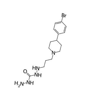 NNC(=O)NNCCCN1CCC(c2ccc(Br)cc2)CC1